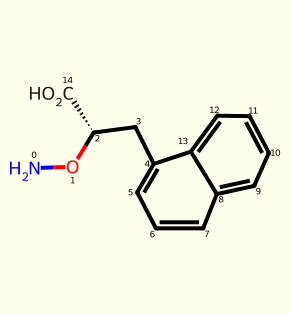 NO[C@@H](Cc1cccc2ccccc12)C(=O)O